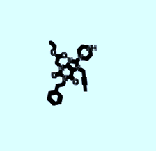 CC#CCn1c(N2CCNCC2)nc2c1c(=O)n(CCc1ccccc1)c(=O)n2CC(=O)OCC